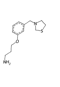 NCCCOc1cccc(CN2CCSC2)c1